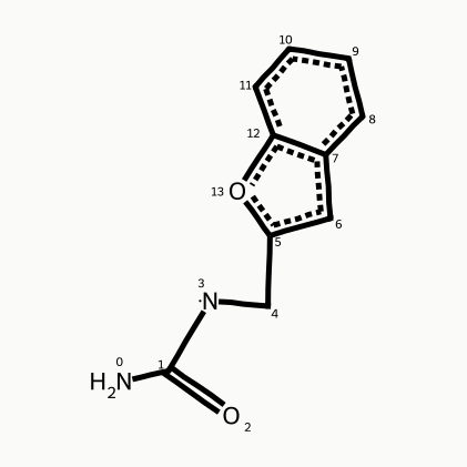 NC(=O)[N]Cc1cc2ccccc2o1